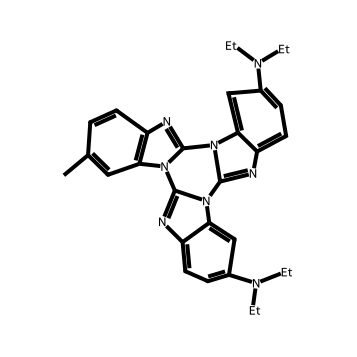 CCN(CC)c1ccc2nc3n4c5cc(C)ccc5nc4n4c5cc(N(CC)CC)ccc5nc4n3c2c1